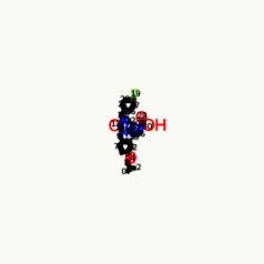 CC(C)COc1ccc(CNC(=O)N(Cc2ccc(F)cc2)C[C@@H]2CCCN2C(=O)O)cc1